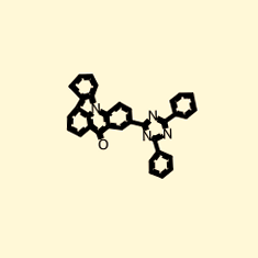 O=c1c2cc(-c3nc(-c4ccccc4)nc(-c4ccccc4)n3)ccc2n2c3ccccc3c3cccc1c32